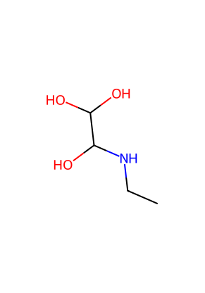 CCNC(O)C(O)O